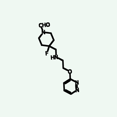 O=CN1CCC(F)(CNCCOc2cccnn2)CC1